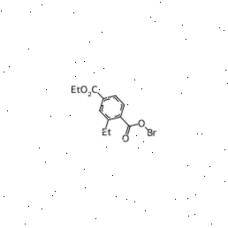 CCOC(=O)c1ccc(C(=O)OBr)c(CC)c1